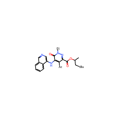 CCn1nc(C(=O)OC(C)CC(C)(C)C)c(C(C)=O)c(Nc2cncc3ccccc23)c1=O